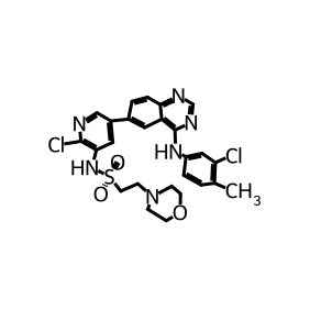 Cc1ccc(Nc2ncnc3ccc(-c4cnc(Cl)c(NS(=O)(=O)CCN5CCOCC5)c4)cc23)cc1Cl